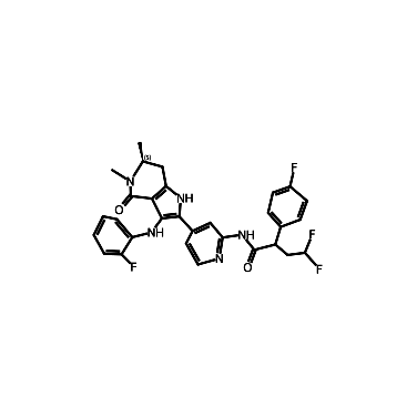 C[C@H]1Cc2[nH]c(-c3ccnc(NC(=O)C(CC(F)F)c4ccc(F)cc4)c3)c(Nc3ccccc3F)c2C(=O)N1C